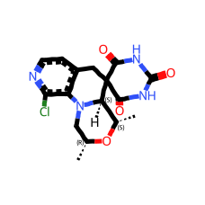 C[C@@H]1CN2c3c(ccnc3Cl)CC3(C(=O)NC(=O)NC3=O)[C@H]2[C@H](C)O1